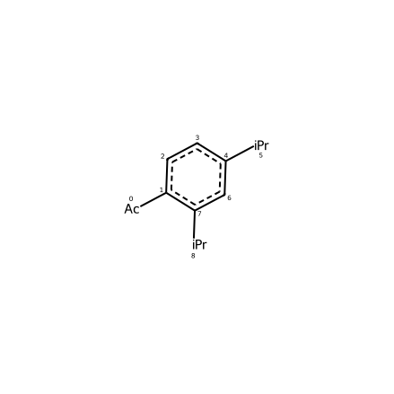 CC(=O)c1ccc(C(C)C)cc1C(C)C